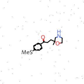 CSc1ccc(C(=O)CCC2(C)CNCCO2)cc1